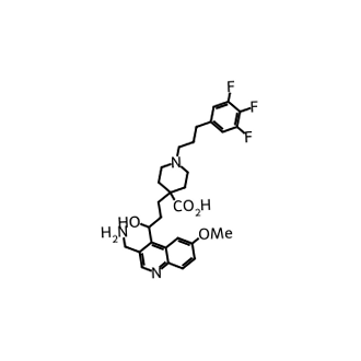 COc1ccc2ncc(CN)c(C(O)CCC3(C(=O)O)CCN(CCCc4cc(F)c(F)c(F)c4)CC3)c2c1